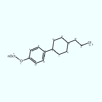 CCCCCCCCOc1ccc(C2CCC(CCC(F)(F)F)CC2)cc1